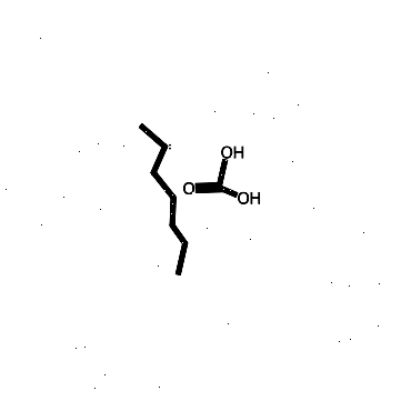 C[C]CCCCC.O=C(O)O